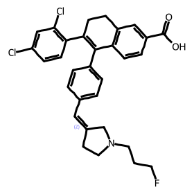 O=C(O)c1ccc2c(c1)CCC(c1ccc(Cl)cc1Cl)=C2c1ccc(/C=C2/CCN(CCCF)C2)cc1